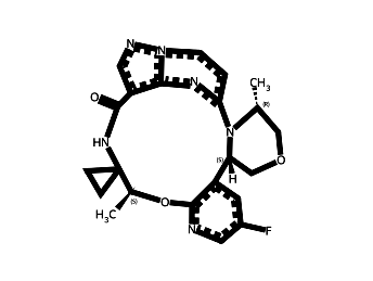 C[C@@H]1COC[C@@H]2c3cc(F)cnc3O[C@@H](C)C3(CC3)NC(=O)c3cnn4ccc(nc34)N12